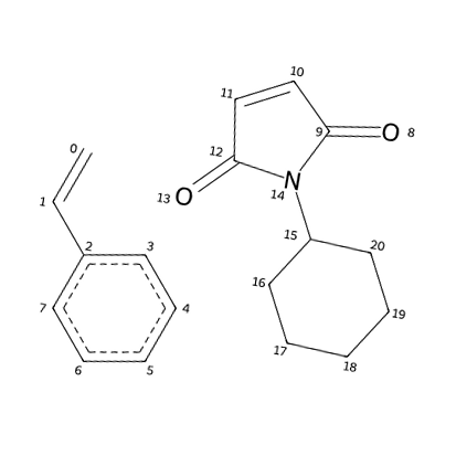 C=Cc1ccccc1.O=C1C=CC(=O)N1C1CCCCC1